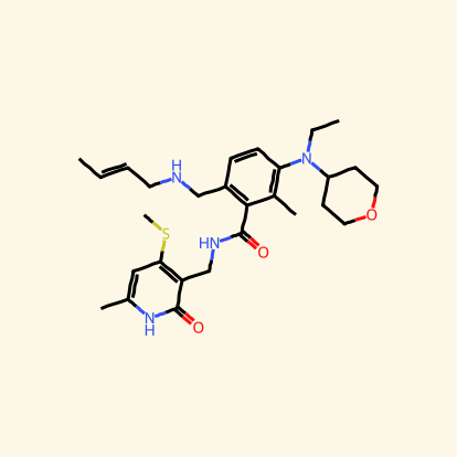 CC=CCNCc1ccc(N(CC)C2CCOCC2)c(C)c1C(=O)NCc1c(SC)cc(C)[nH]c1=O